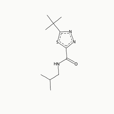 CC(C)CNC(=O)c1nnc(C(C)(C)C)s1